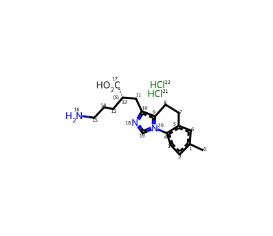 Cc1ccc2c(c1)CCc1c(C[C@H](CCCN)C(=O)O)ncn1-2.Cl.Cl